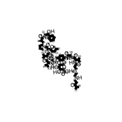 CC[C@H](C)[C@@H]([C@@H](CC(=O)N1CCC[C@H]1C[C@@H](C)C(=O)N[C@H](C)[C@@H](O)c1ccccc1)OC)N(C)C(=O)[C@@H](NC(=O)[C@H](C(C)C)N(C)C(=O)OCc1ccc(NC(=O)[C@H](C)NC(=O)[C@@H](NC(=O)CCOCCNCCC(=O)C(C)C)C(C)C)c(O[C@@H]2O[C@H](C(=O)O)[C@@H](O)[C@H](O)[C@H]2O)c1)C(C)C